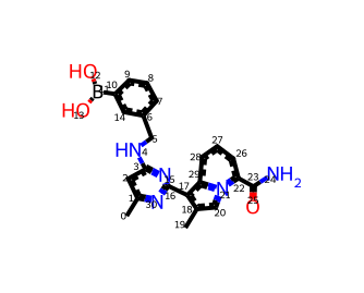 Cc1cc(NCc2cccc(B(O)O)c2)nc(-c2c(C)cn3c(C(N)=O)cccc23)n1